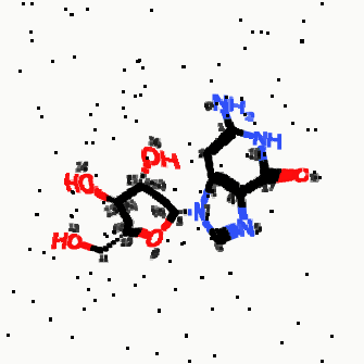 Nc1cc2c(ncn2[C@@H]2O[C@H](CO)[C@@H](O)[C@@H]2O)c(=O)[nH]1